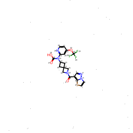 O=C(c1cnn2ccsc12)N1CC2(CC(N(C(=O)O)c3cc(OC(F)(F)F)ccn3)C2)C1